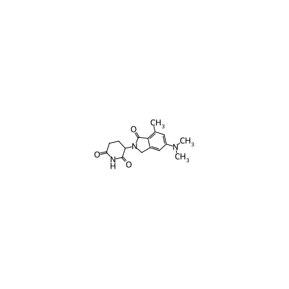 Cc1cc(N(C)C)cc2c1C(=O)N(C1CCC(=O)NC1=O)C2